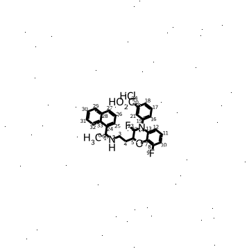 C[C@@H](NCCC1Oc2c(F)cccc2N(c2cccc(C(=O)O)c2)C1F)c1cccc2ccccc12.Cl